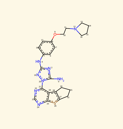 Nc1nc(Nc2ccc(OCCN3CCCC3)cc2)nn1-c1ncnc2sc3c(c12)CCC3